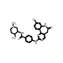 CC1CCN(C)CC1NC(=O)c1ccc(Nc2ncc3c(n2)-c2ccc(Cl)cc2NC(=O)C3)cc1